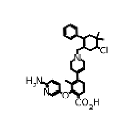 Cc1c(C2=CCN(CC3=C(c4ccccc4)CC(C)(C)C(Cl)C3)CC2)ccc(C(=O)O)c1Oc1ccc(N)nc1